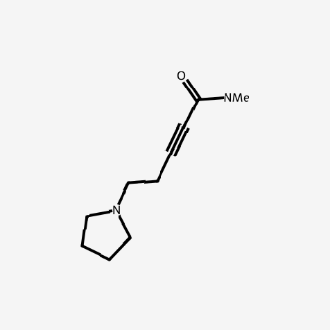 CNC(=O)C#CCCN1CCCC1